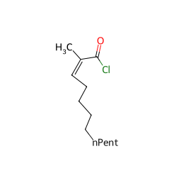 CCCCCCCCCC=C(C)C(=O)Cl